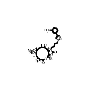 CC[C@H]1OC(=O)[C@@](C)(F)C(=O)[C@H](C)[C@@H](O)[C@](C)(OC)C[C@@H](C)C(=O)[C@H](C)[C@H]2N(CCCCn3cc(-c4cccc(N)c4)nn3)C(=O)O[C@]12C